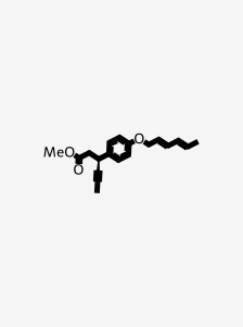 CC#C[C@@H](CC(=O)OC)c1ccc(OCC=CC=CC)cc1